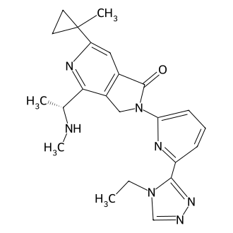 CCn1cnnc1-c1cccc(N2Cc3c(cc(C4(C)CC4)nc3[C@@H](C)NC)C2=O)n1